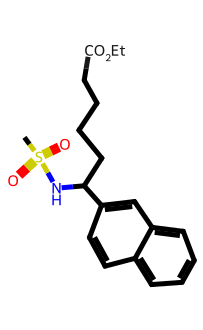 CCOC(=O)CCCCC(NS(C)(=O)=O)c1ccc2ccccc2c1